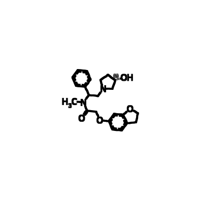 CN(C(=O)COc1ccc2c(c1)OCC2)C(CN1CC[C@H](O)C1)c1ccccc1